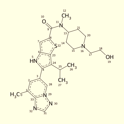 Cc1cc(-c2[nH]c3cc(C(=O)N(C)C4CCN(CCO)CC4)sc3c2C(C)C)cn2ncnc12